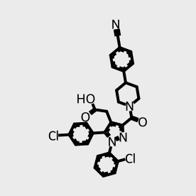 N#Cc1ccc(C2CCN(C(=O)c3nn(-c4ccccc4Cl)c(-c4ccc(Cl)cc4)c3CC(=O)O)CC2)cc1